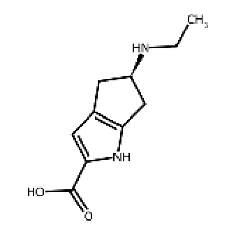 CCN[C@@H]1Cc2cc(C(=O)O)[nH]c2C1